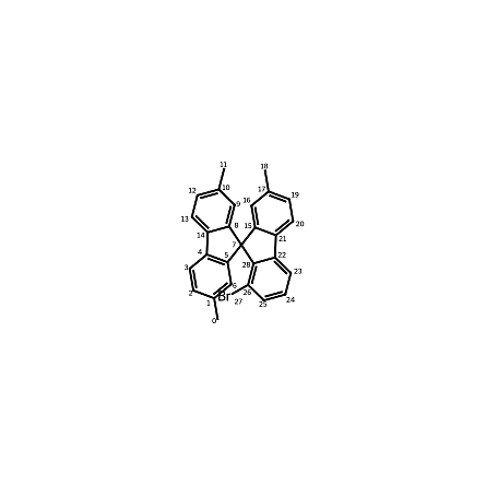 Cc1ccc2c(c1)C1(c3cc(C)ccc3-2)c2cc(C)ccc2-c2cccc(Br)c21